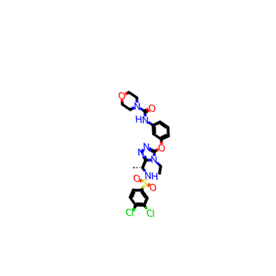 CCn1c(Oc2cccc(NC(=O)N3CCOCC3)c2)nnc1[C@@H](C)NS(=O)(=O)c1ccc(Cl)c(Cl)c1